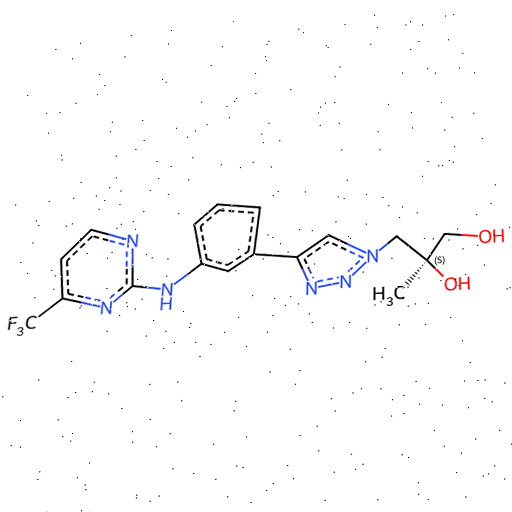 C[C@@](O)(CO)Cn1cc(-c2cccc(Nc3nccc(C(F)(F)F)n3)c2)nn1